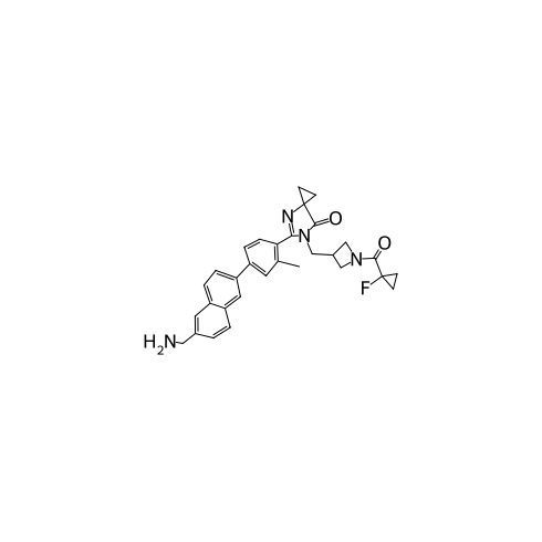 Cc1cc(-c2ccc3cc(CN)ccc3c2)ccc1C1=NC2(CC2)C(=O)N1CC1CN(C(=O)C2(F)CC2)C1